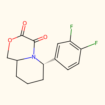 O=C1OCC2CCC[C@@H](c3ccc(F)c(F)c3)N2C1=O